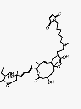 CCC(O)C(C)[C@H]1O[C@@H]1CC(C)(O)/C=C/C=C(\C)[C@H]1OC(=O)C[C@H](O)CC[C@@](C)(OC)[C@H](CN(CCN(C)CCCCCCN2C(=O)C=CC2=O)C(=O)O)/C=C/[C@@H]1C